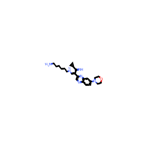 N=C(/C(=C\NCCCCCCN)c1cnc2ccc(N3CCOCC3)cc2n1)C1CC1